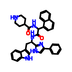 O=C(NC(C(=O)N[C@H](Cc1c[nH]c2ccccc12)c1nc(-c2ccccc2)c[nH]1)c1cccc2ccccc12)C1CCNCC1